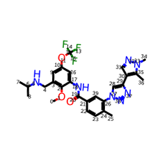 COc1c(CNC(C)C)cc(OC(F)(F)F)cc1NC(=O)c1ccc(C)c(-n2cc(-c3cnn(C)c3C)nn2)c1